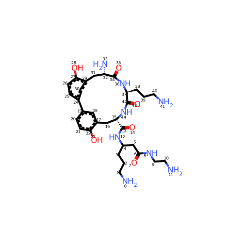 NCCCC(CC(=O)NCCN)NC(=O)[C@@H]1Cc2cc(ccc2O)-c2ccc(O)c(c2)C[C@H](N)C(=O)N[C@@H](CCCN)C(=O)N1